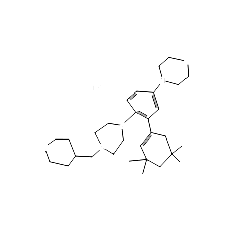 CC1(C)C=C(c2cc(N3CCOCC3)ccc2N2CCN(CC3CCOCC3)CC2)CC(C)(C)C1.Cl